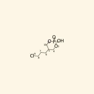 O=P1(O)OCC(CCCCl)CO1